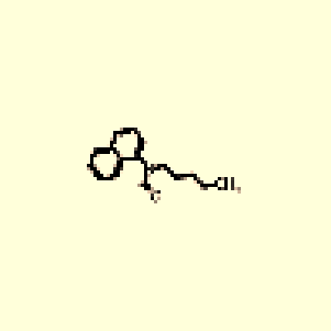 CCCCCN([C]=O)c1cccc2ccccc12